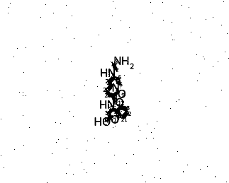 NCCNc1ccn2c(=O)c(C(=O)NC(CC(=O)O)c3ccccc3)ccc2c1